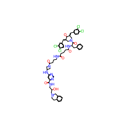 O=C(CCCC(=O)NC(Cc1ccccc1)C(=O)N1C/C(=C\c2ccc(Cl)c(Cl)c2)C(=O)/C(=C/c2ccc(Cl)c(Cl)c2)C1)NCCCC(=O)N1CC(Nc2cc(C(=O)NCC(O)CN3CCc4ccccc4C3)ncn2)C1